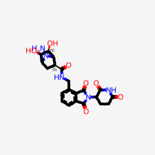 NN1C2C[C@H](C(=O)NCc3cccc4c3C(=O)N(C3CCC(=O)NC3=O)C4=O)C1[C@H](O)C2O